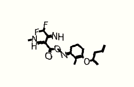 CCCC(C)OC1=C(C)/C(=N/OC(=O)/C(=C/NC)C(=N)C(F)F)CCC1